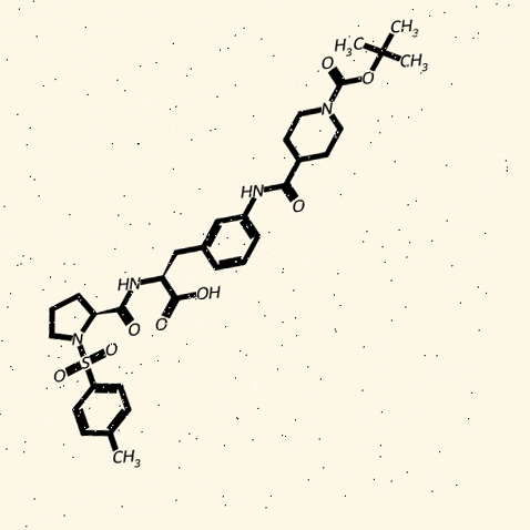 Cc1ccc(S(=O)(=O)N2CCC[C@H]2C(=O)N[C@@H](Cc2cccc(NC(=O)C3CCN(C(=O)OC(C)(C)C)CC3)c2)C(=O)O)cc1